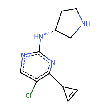 Clc1cnc(N[C@@H]2CCNC2)nc1C1C=C1